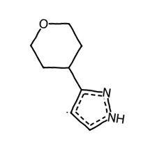 [c]1c[nH]nc1C1CCOCC1